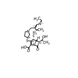 C=C/C(=C\N=C/C)CN1CC[C@@H](SC2=C(C(=O)O)N3C(=O)[C@H]([C@@H](C)O)[C@H]3[C@H]2C)C1